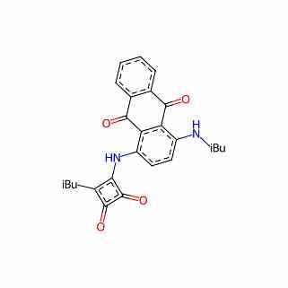 CCC(C)Nc1ccc(Nc2c(C(C)CC)c(=O)c2=O)c2c1C(=O)c1ccccc1C2=O